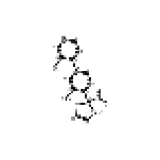 CNC1(c2ccc(-c3ccccc3C)cc2Cl)OC=CO1